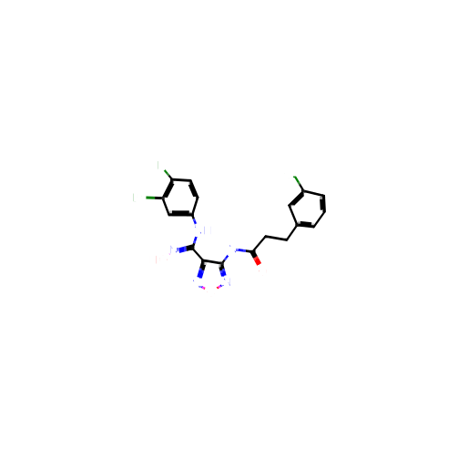 O=C(CCc1cccc(Cl)c1)Nc1nonc1/C(=N\O)Nc1ccc(F)c(Br)c1